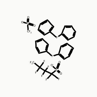 O=S(=O)([O-])C(F)(F)C(F)(F)C(F)(F)C(F)(F)F.O=S(=O)([O-])C(F)(F)F.c1ccc([I+]c2ccccc2)cc1.c1ccc([I+]c2ccccc2)cc1